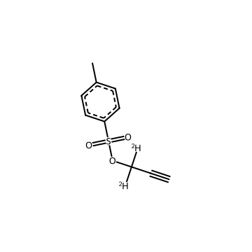 [2H]C([2H])(C#C)OS(=O)(=O)c1ccc(C)cc1